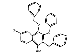 CC(=O)Oc1c(Oc2ccccc2)c(Oc2ccccc2)c(OCc2ccccc2)c2cc(Cl)ccc12